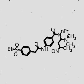 CCCN(C(=O)c1ccc(NC(=O)Cc2ccc(S(=O)(=O)CC)cc2)cc1)C(CC(C)N=O)N(C)C